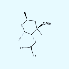 CCN(CC)C[C@@H]1[C@H](C)O[C@@H](C)C[C@@]1(C)OC